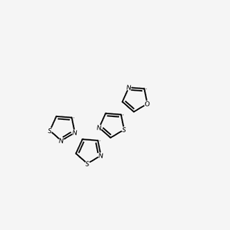 [c]1ccsn1.[c]1cncs1.[c]1csnn1.[c]1ncco1